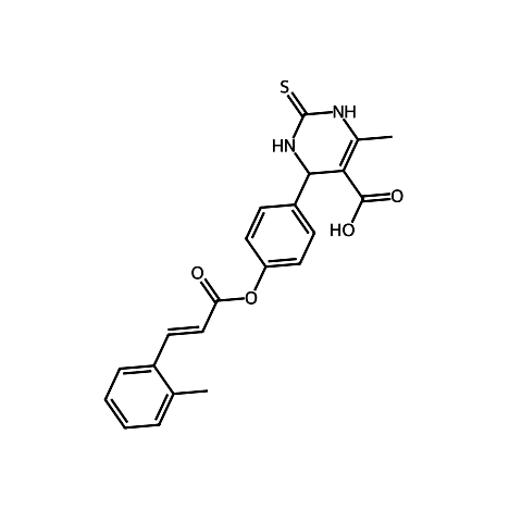 CC1=C(C(=O)O)C(c2ccc(OC(=O)C=Cc3ccccc3C)cc2)NC(=S)N1